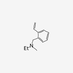 C=Cc1ccccc1CN(C)CC